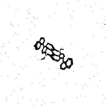 CCn1c2ccc3c(-c4cccc5ccccc45)ccc4c3c2-c2c3c(ccc2n4CC)c(-c2cccc4ccccc24)ccc31